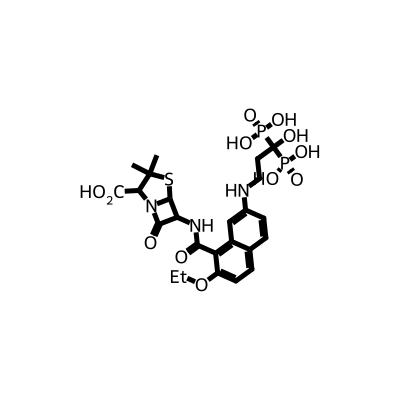 CCOc1ccc2ccc(NCCC(O)(P(=O)(O)O)P(=O)(O)O)cc2c1C(=O)NC1C(=O)N2C1SC(C)(C)C2C(=O)O